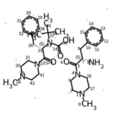 CN1CCN(C(=O)[C@@H](N)Cc2ccccc2)CC1.CN1CCN(C(=O)[C@H](Cc2ccccc2)N(C(=O)O)C(C)(C)C)CC1